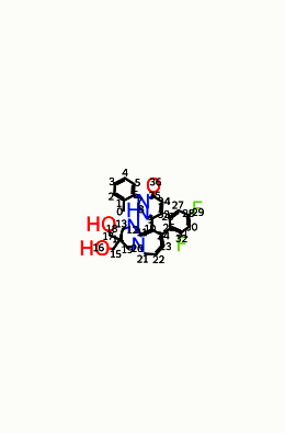 Cc1ccccc1-n1nc(C2=C3NCC(CO)(CO)CN3CC=C=C2c2ccc(F)cc2F)ccc1=O